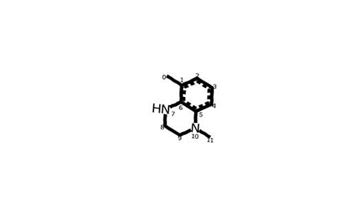 Cc1cccc2c1NCCN2C